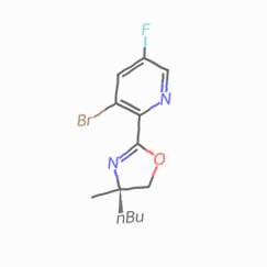 CCCC[C@]1(C)COC(c2ncc(F)cc2Br)=N1